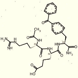 CC(=O)N[C@@H](CCCNC(=N)N)C(=O)N[C@@H](CCCC(=O)O)C(=O)N[C@@H](Cc1ccc(C(=O)c2ccccc2)cc1)C(N)=O